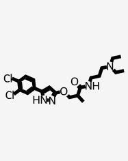 CCN(CC)CCCNC(=O)C(C)COc1cc(-c2ccc(Cl)c(Cl)c2)[nH]n1